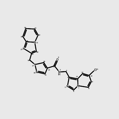 O=C(NCc1ncn2ccc(Cl)cc12)c1cnn(Cc2cn3ccccc3n2)c1